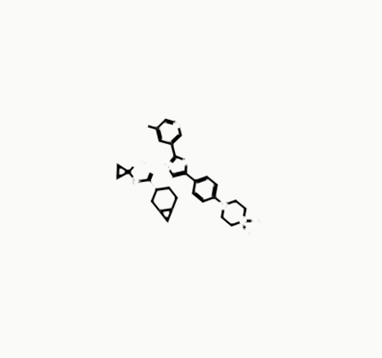 N#CC1(NC(=O)[C@@H]2CC3CC3C[C@H]2c2nc(-c3cncc(F)c3)sc2-c2ccc(N3CCS(O)(O)CC3)cc2)CC1